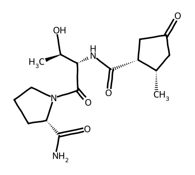 C[C@@H](O)[C@H](NC(=O)[C@@H]1CC(=O)C[C@@H]1C)C(=O)N1CCC[C@H]1C(N)=O